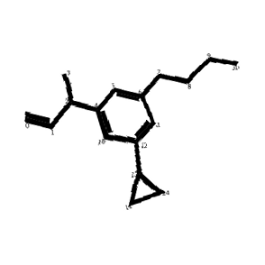 C=C[C](C)c1cc(CCCC)cc(C2CC2)c1